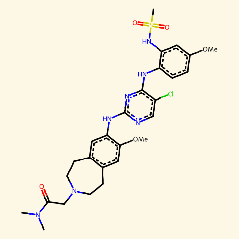 COc1ccc(Nc2nc(Nc3cc4c(cc3OC)CCN(CC(=O)N(C)C)CC4)ncc2Cl)c(NS(C)(=O)=O)c1